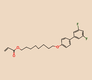 C=CC(=O)OCCCCCCCCOc1ccc(-c2cc(F)cc(F)c2)cc1